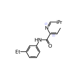 C/C=C(\N=C/C(C)C)C(=O)Nc1cccc(CC)c1